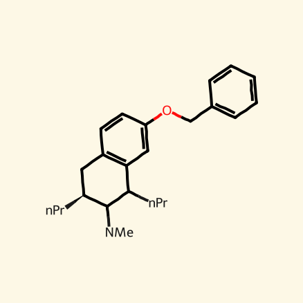 CCCC1c2cc(OCc3ccccc3)ccc2C[C@H](CCC)C1NC